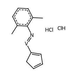 Cc1cccc(C)c1[N]=[V][C]1=CC=CC1.Cl.Cl